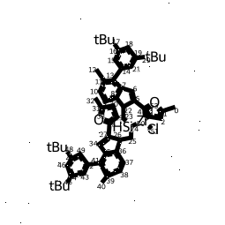 Cc1ccc(C2=Cc3c(ccc(C)c3-c3cc(C(C)(C)C)cc(C(C)(C)C)c3)C2C[SiH](CC2C(c3ccc(C)o3)=Cc3c2ccc(C)c3-c2cc(C(C)(C)C)cc(C(C)(C)C)c2)[Zr]([Cl])[Cl])o1